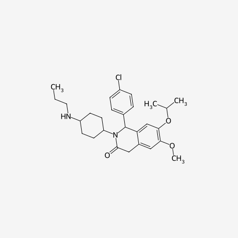 CCCNC1CCC(N2C(=O)Cc3cc(OC)c(OC(C)C)cc3C2c2ccc(Cl)cc2)CC1